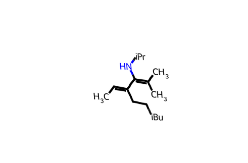 C/C=C(\CCC(C)CC)C(NC(C)C)=C(C)C